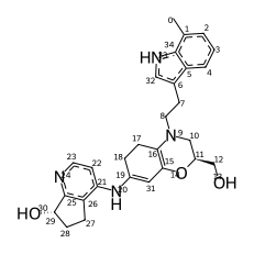 Cc1cccc2c(CCN3C[C@@H](CO)OC4=C3CCC(Nc3ccnc5c3CC[C@@H]5O)=C4)c[nH]c12